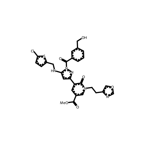 COC(=O)c1cc(-c2cc(NCc3ccc(Cl)s3)n(C(=O)c3cccc(CO)c3)n2)c(=O)n(CCc2cocn2)c1